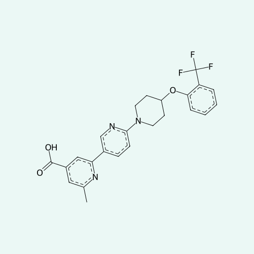 Cc1cc(C(=O)O)cc(-c2ccc(N3CCC(Oc4ccccc4C(F)(F)F)CC3)nc2)n1